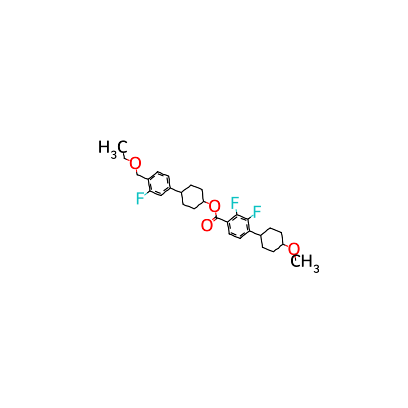 CCOCc1ccc(C2CCC(OC(=O)c3ccc(C4CCC(OC)CC4)c(F)c3F)CC2)cc1F